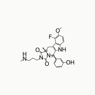 CNCCCN1C(=O)N2[C@H](c3cccc(O)c3)c3[nH]c4ccc(OC)c(F)c4c3C[C@@]2(C)C1=O